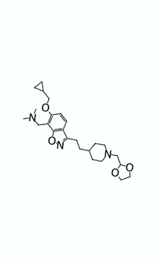 CN(C)Cc1c(OCC2CC2)ccc2c(CCC3CCN(CC4OCCO4)CC3)noc12